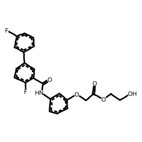 O=C(COc1cccc(NC(=O)c2cc(-c3cccc(F)c3)ccc2F)c1)OCCO